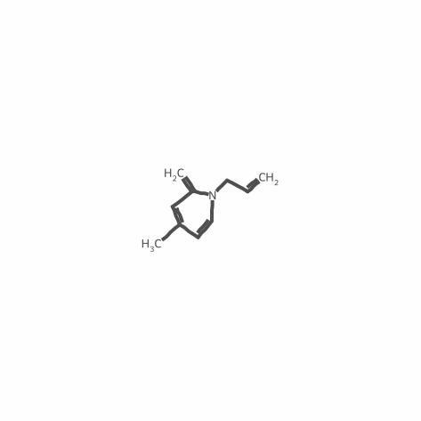 C=CCN1C=CC(C)=CC1=C